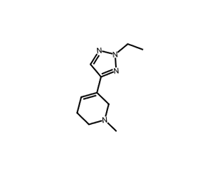 CCn1ncc(C2=CCCN(C)C2)n1